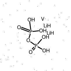 O=P(O)(O)OP(=O)(O)O.[LiH].[LiH].[V]